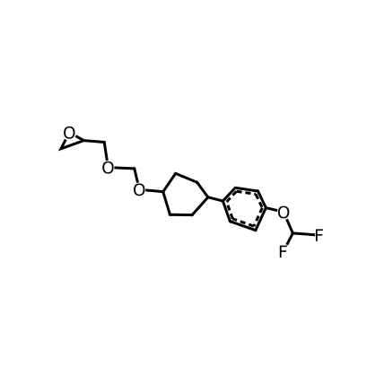 FC(F)Oc1ccc(C2CCC(OCOCC3CO3)CC2)cc1